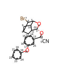 N#C[C@@H](O[C@H]1OC2C(Br)C3CC2C1C3)c1cccc(Oc2ccccc2)c1